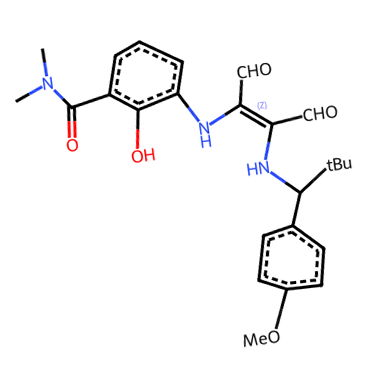 COc1ccc(C(N/C(C=O)=C(/C=O)Nc2cccc(C(=O)N(C)C)c2O)C(C)(C)C)cc1